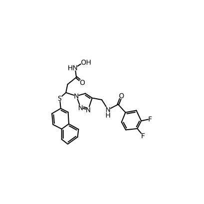 O=C(CC(Sc1ccc2ccccc2c1)n1cc(CNC(=O)c2ccc(F)c(F)c2)nn1)NO